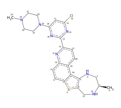 C[C@@H]1CNc2c(sc3ccc4nc(-c5nc(Cl)cc(N6CCN(C)CC6)n5)ccc4c23)CN1